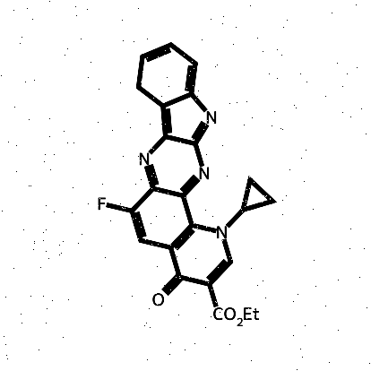 CCOC(=O)c1cn(C2CC2)c2c(cc(F)c3nc4c(nc32)=NC2=CC=CCC=42)c1=O